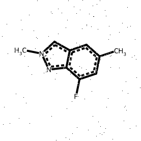 Cc1cc(F)c2nn(C)cc2c1